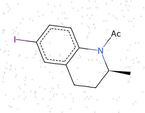 CC(=O)N1c2ccc(I)cc2CC[C@@H]1C